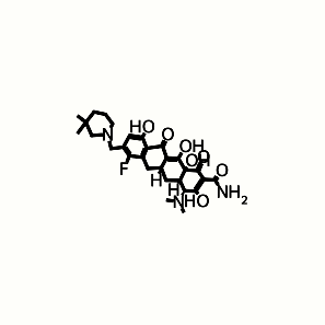 CN(C)[C@@H]1C(O)=C(C(N)=O)C(=O)[C@@]2(O)C(O)=C3C(=O)c4c(O)cc(CN5CCCC(C)(C)C5)c(F)c4C[C@H]3C[C@@H]12